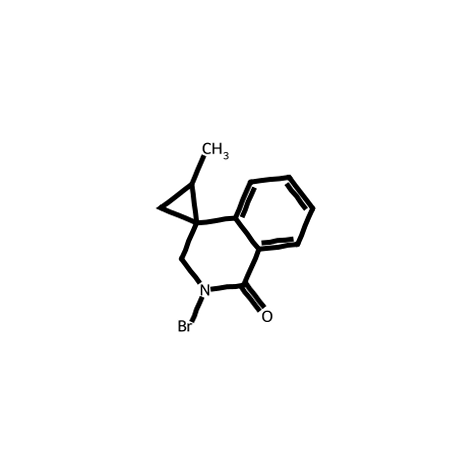 CC1CC12CN(Br)C(=O)c1ccccc12